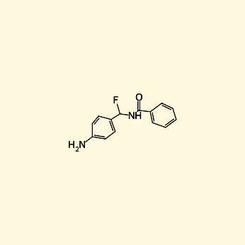 Nc1ccc(C(F)NC(=O)c2ccccc2)cc1